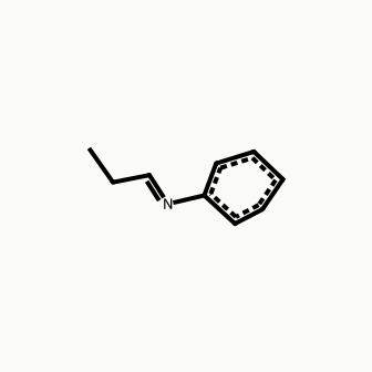 CCC=Nc1ccccc1